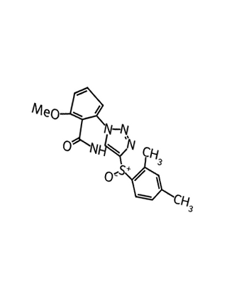 COc1cccc2c1c(=O)[nH]c1c([S+]([O-])c3ccc(C)cc3C)nnn12